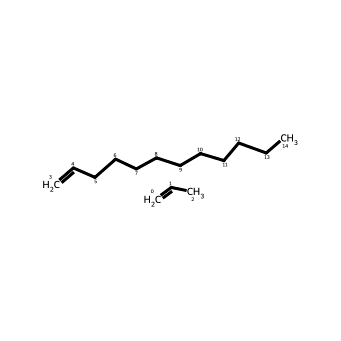 C=CC.C=CCCCCCCCCCC